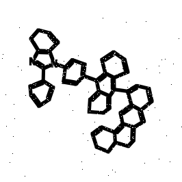 C1=Cc2c(nc(-c3ccccc3)n2-c2ccc(-c3c4c(c(-c5cccc6cc7c(cc56)=C5C=CCCC5CC=7)c5ccccc35)=CCCC=4)cc2)CC1